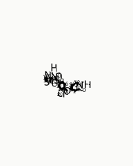 C[C@H]1C[C@H](Oc2ccc(S(=O)(=O)Nc3cscn3)cc2Cl)CCN1